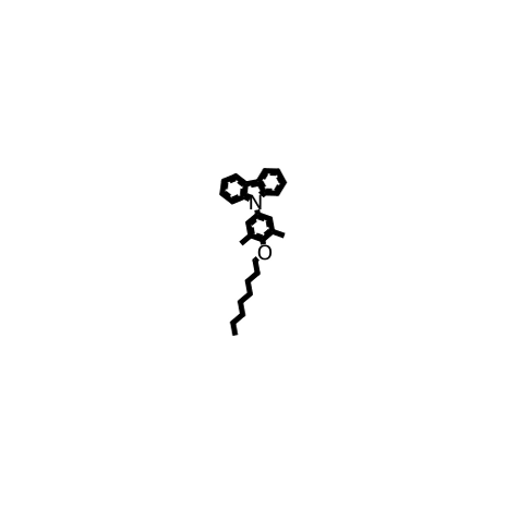 CCCCCCCCOc1c(C)cc(-n2c3ccccc3c3ccccc32)cc1C